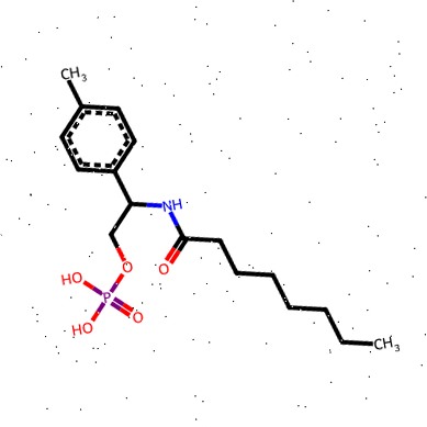 CCCCCCCC(=O)NC(COP(=O)(O)O)c1ccc(C)cc1